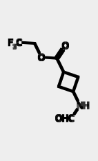 O=CNC1CC(C(=O)OCC(F)(F)F)C1